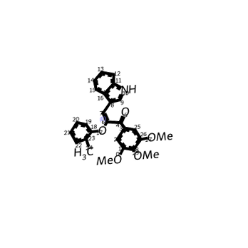 COc1cc(C(=O)/C(=C\c2c[nH]c3ccccc23)Oc2ccccc2C)cc(OC)c1OC